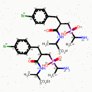 CC(NC(=O)C(Cc1ccc(Br)cc1)CP(=O)(O)C(C)N)C(=O)O.CCOC(=O)C(C)NC(=O)C(Cc1ccc(Br)cc1)CP(=O)(O)C(C)N